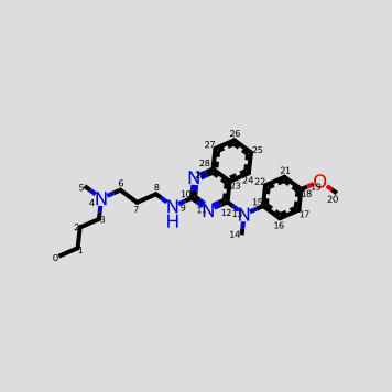 CCCCN(C)CCCNc1nc(N(C)c2ccc(OC)cc2)c2ccccc2n1